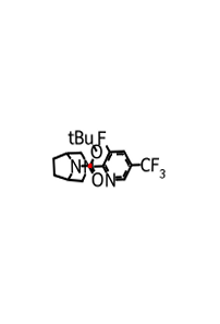 CC(C)(C)OC(=O)N1C2CCC1CN(c1ncc(C(F)(F)F)cc1F)C2